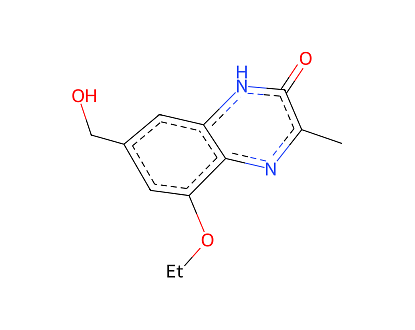 CCOc1cc(CO)cc2[nH]c(=O)c(C)nc12